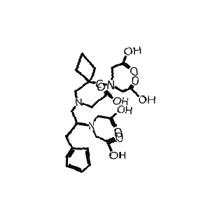 O=C(O)CN(CC(=O)O)CC1(CN(CC(=O)O)CC(Cc2ccccc2)N(CC(=O)O)CC(=O)O)CCC1